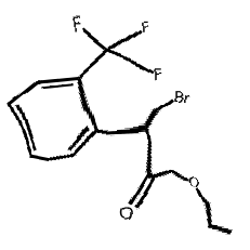 CCOC(=O)C(Br)c1ccccc1C(F)(F)F